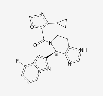 O=C(c1ocnc1C1CC1)N1CCc2[nH]cnc2[C@H]1c1cc2c(F)cccn2n1